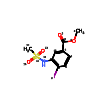 COC(=O)c1ccc(I)c(NS(C)(=O)=O)c1